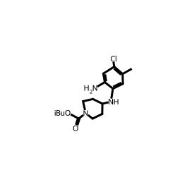 Cc1cc(NC2CCN(C(=O)OCC(C)C)CC2)c(N)cc1Cl